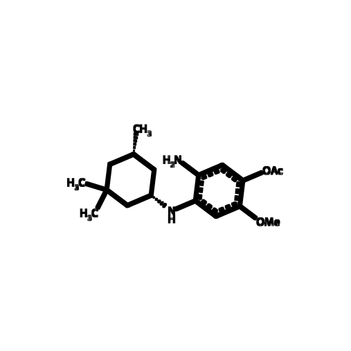 COc1cc(N[C@H]2C[C@@H](C)CC(C)(C)C2)c(N)cc1OC(C)=O